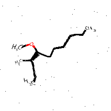 CCCCCCC(OC)=C(C)CC